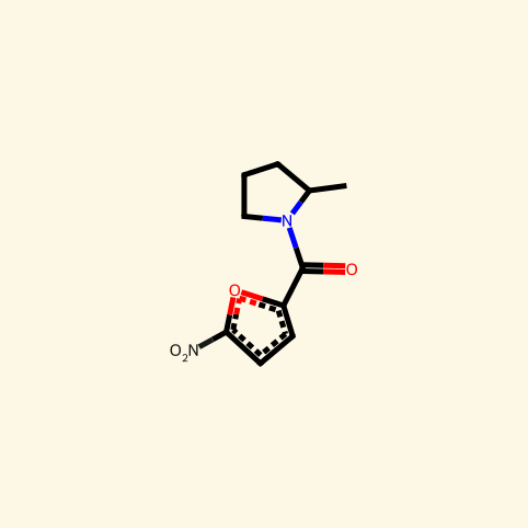 CC1CCCN1C(=O)c1ccc([N+](=O)[O-])o1